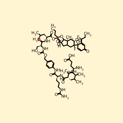 CCCC1O[C@@H]2CC3C[C@@](F)([C@@]4(C)C=CC(=O)C=C4[C@@H](F)CC)[C@@H](O)C[C@]3(C)[C@]2(C(=O)COC(=O)[C@H](CC(C)C)NC(=O)[C@H](CO)NC(=O)OCc2ccc(NC(=O)[C@H](CCCNC(N)=O)NC(=O)[C@@H](CC(C)C(C)C(=O)[C@H](N)CCC(=O)O)C(C)C)cc2)O1